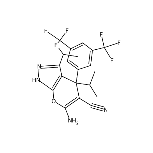 CC(C)c1n[nH]c2c1C(c1cc(C(F)(F)F)cc(C(F)(F)F)c1)(C(C)C)C(C#N)=C(N)O2